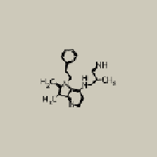 C=C1C(C)c2nccc(NCC(C)C=N)c2N1CCc1ccccc1